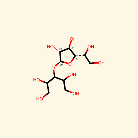 OCC(O)C(O[C@@H]1O[C@@H](C(O)CO)[C@H](O)[C@H]1O)C(O)CO